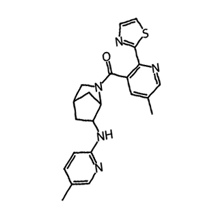 Cc1ccc(NC2CC3CC2N(C(=O)c2cc(C)cnc2-c2nccs2)C3)nc1